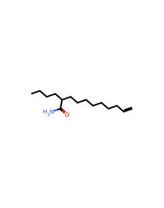 C=CCCCCCCCC(CCCC)C(N)=O